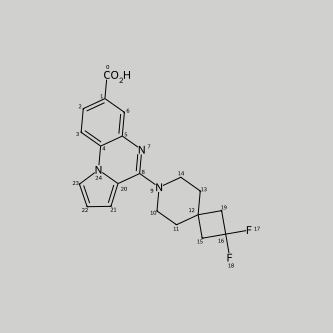 O=C(O)c1ccc2c(c1)nc(N1CCC3(CC1)CC(F)(F)C3)c1cccn12